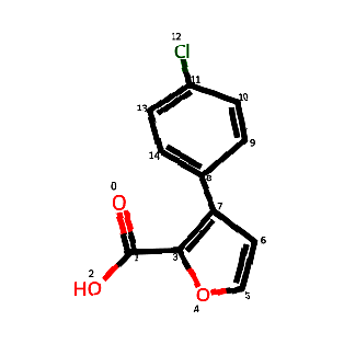 O=C(O)c1occc1-c1ccc(Cl)cc1